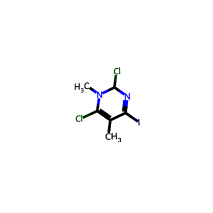 CC1=C(Cl)N(C)C(Cl)N=C1I